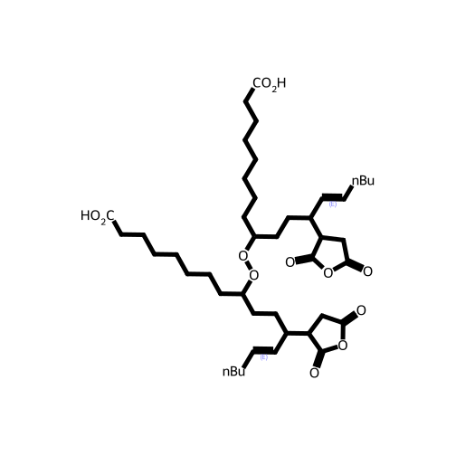 CCCC/C=C/C(CCC(CCCCCCCC(=O)O)OOC(CCCCCCCC(=O)O)CCC(/C=C/CCCC)C1CC(=O)OC1=O)C1CC(=O)OC1=O